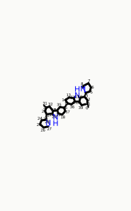 Cc1cc(-c2ccccn2)c2[nH]c3ccc(-c4ccc5[nH]c6c(-c7ccccn7)cc(C)cc6c5c4)cc3c2c1